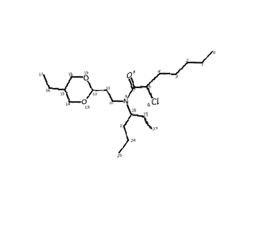 CCCCCC(Cl)C(=O)N(CCC1OCC(CC)CO1)C(CC)CCC